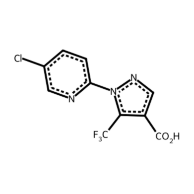 O=C(O)c1cnn(-c2ccc(Cl)cn2)c1C(F)(F)F